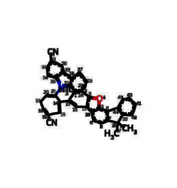 CC1Cc2oc3c4c(ccc3c2C=C1C1=CC(C#N)=CCC=C1n1c2ccccc2c2cc(C#N)ccc21)C(C)(C)c1ccccc1-4